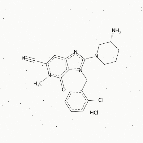 Cl.Cn1c(C#N)cc2nc(N3CCC[C@@H](N)C3)n(Cc3ccccc3Cl)c2c1=O